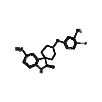 O=C(O)c1ccc2c(c1)C1(CCC(Oc3ccc(F)c(C(F)(F)F)c3)CC1)C(=O)N2